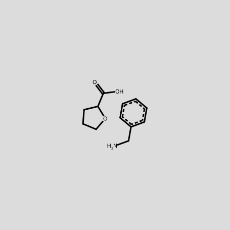 NCc1ccccc1.O=C(O)C1CCCO1